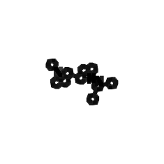 c1ccc(-c2cc(-c3ccccc3)nc(-n3c4cccc5ccc6c(-c7ccc8c9c7ccc7cccc(c79)n8-c7ccccc7)ccc3c6c54)c2)cc1